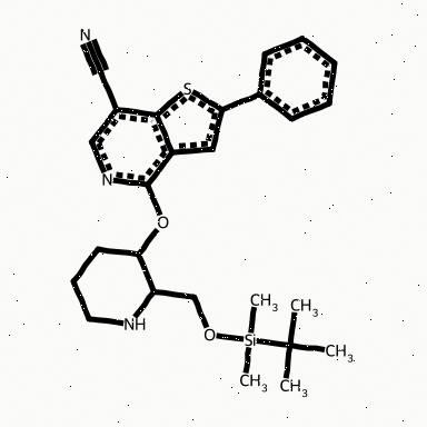 CC(C)(C)[Si](C)(C)OCC1NCCCC1Oc1ncc(C#N)c2sc(-c3ccccc3)cc12